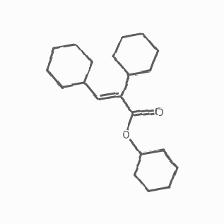 O=C(OC1CCCCC1)C(=CC1CCCCC1)C1CCCCC1